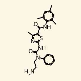 Cc1cc(C)c(NC(=O)c2sc(NC(=O)N(CCN)c3ccccc3)nc2C)c(C)c1